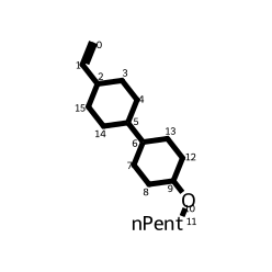 C=CC1CCC(C2CCC(OCCCCC)CC2)CC1